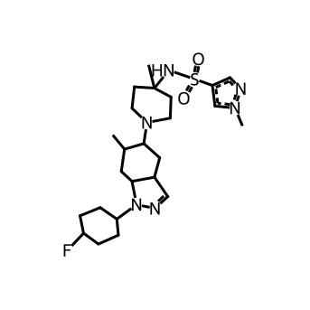 CC1CC2C(C=NN2C2CCC(F)CC2)CC1N1CCC(C)(NS(=O)(=O)c2cnn(C)c2)CC1